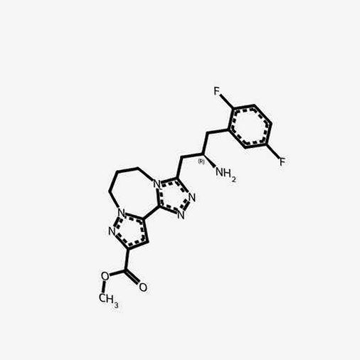 COC(=O)c1cc2n(n1)CCCn1c(C[C@H](N)Cc3cc(F)ccc3F)nnc1-2